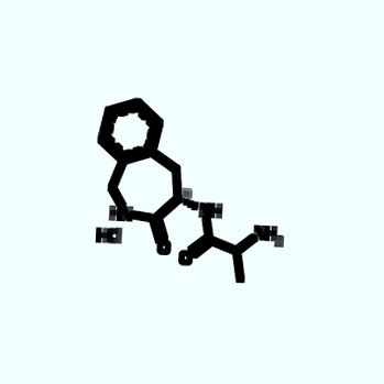 CC(N)C(=O)N[C@H]1Cc2ccccc2CNC1=O.Cl